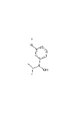 COc1[c]ccc(C(O)C(C)C)c1